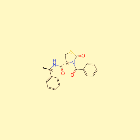 C[C@@H](NC(=O)[C@@H]1CSC(=O)N1C(=O)c1ccccc1)c1ccccc1